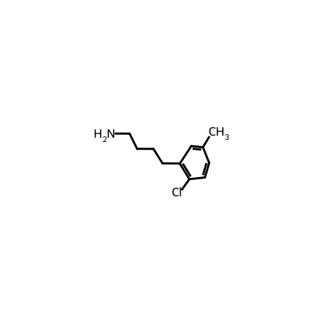 Cc1ccc(Cl)c(CCCCN)c1